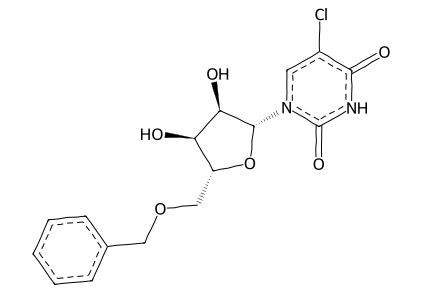 O=c1[nH]c(=O)n([C@@H]2O[C@H](COCc3ccccc3)[C@@H](O)[C@H]2O)cc1Cl